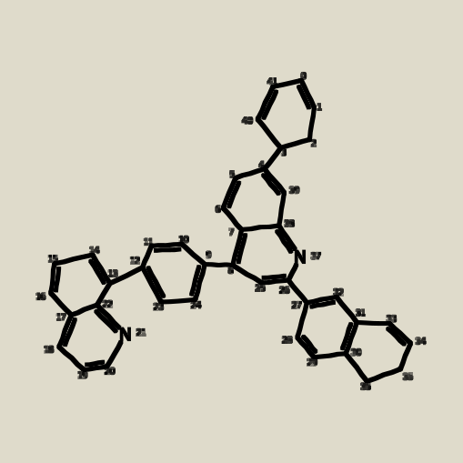 C1=CCC(c2ccc3c(-c4ccc(-c5cccc6cccnc56)cc4)cc(-c4ccc5c(c4)C=CCC5)nc3c2)C=C1